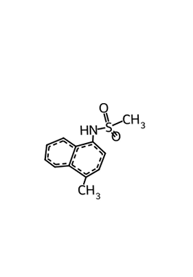 Cc1ccc(NS(C)(=O)=O)c2ccccc12